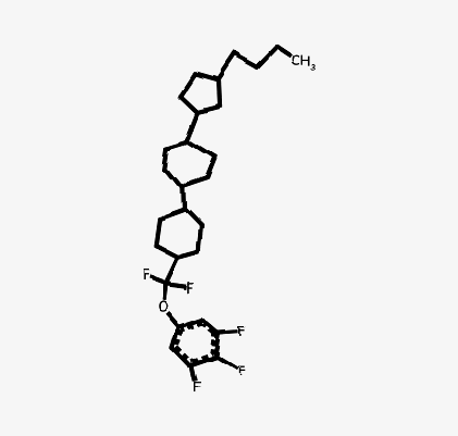 CCCCC1CCC(C2CCC(C3CCC(C(F)(F)Oc4cc(F)c(F)c(F)c4)CC3)CC2)C1